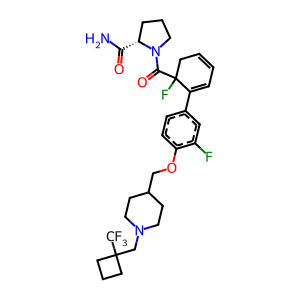 NC(=O)[C@@H]1CCCN1C(=O)C1(F)CC=CC=C1c1ccc(OCC2CCN(CC3(C(F)(F)F)CCC3)CC2)c(F)c1